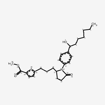 CCCCCCC(O)c1ccc(N2C(=O)CCC2CCCc2ccc(C(=O)OC)s2)cc1